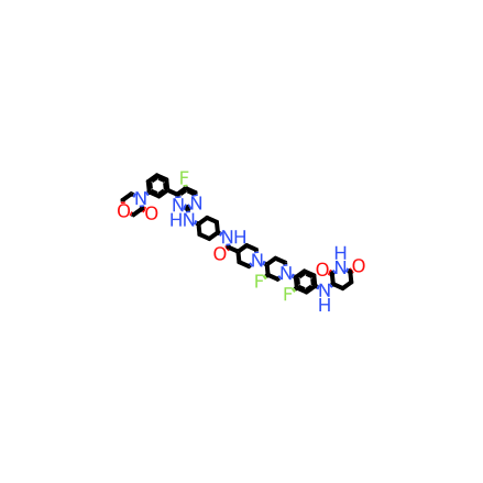 O=C1CCC(Nc2ccc(N3CCC(N4CCC(C(=O)NC5CCC(Nc6ncc(F)c(-c7cccc(N8CCOCC8=O)c7)n6)CC5)CC4)C(F)C3)c(F)c2)C(=O)N1